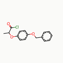 CC(Oc1ccc(OCc2ccccc2)cc1)C(=O)Cl